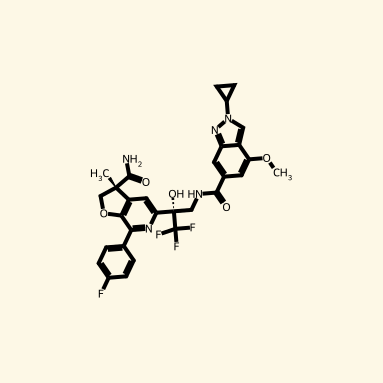 COc1cc(C(=O)NC[C@](O)(c2cc3c(c(-c4ccc(F)cc4)n2)OC[C@]3(C)C(N)=O)C(F)(F)F)cc2nn(C3CC3)cc12